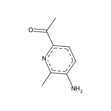 CC(=O)c1ccc(N)c(C)n1